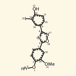 CCCOc1ccc(-c2nc(-c3ccc(O)c(I)c3)no2)cc1OC